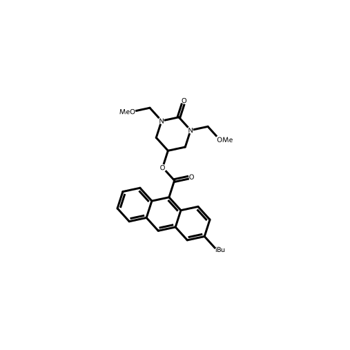 CCC(C)c1ccc2c(C(=O)OC3CN(COC)C(=O)N(COC)C3)c3ccccc3cc2c1